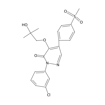 CC(C)(O)COc1c(-c2ccc(S(C)(=O)=O)cc2)cnn(-c2cccc(Cl)c2)c1=O